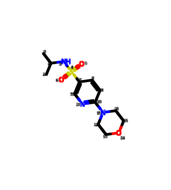 CC(C)NS(=O)(=O)c1ccc(N2CCOCC2)nc1